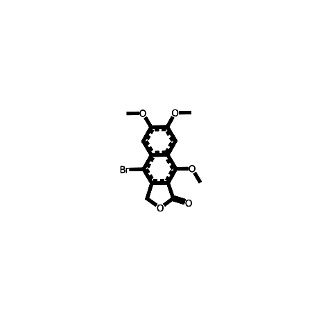 COc1cc2c(Br)c3c(c(OC)c2cc1OC)C(=O)OC3